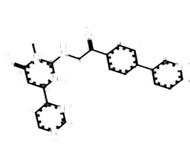 Cn1c(NCC(=O)c2ccc(-c3cccnc3)cc2)nc(-c2ccncn2)cc1=O